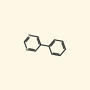 [c]1cccc(-c2cncnc2)c1